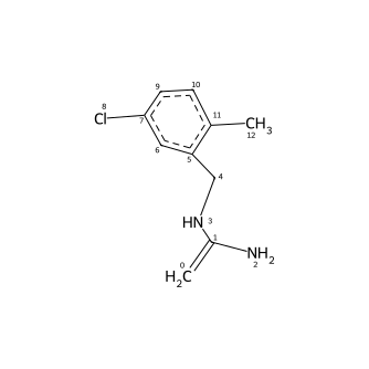 C=C(N)NCc1cc(Cl)ccc1C